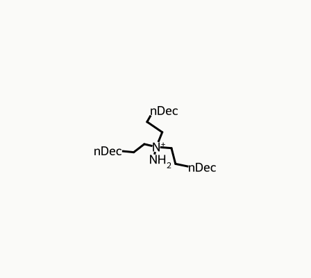 CCCCCCCCCCCC[N+](N)(CCCCCCCCCCCC)CCCCCCCCCCCC